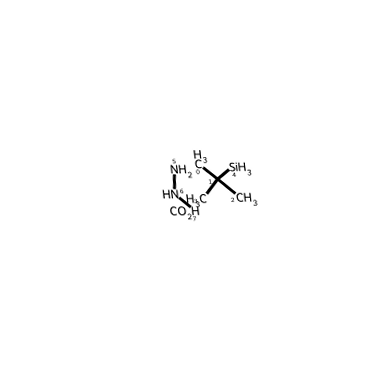 CC(C)(C)[SiH3].NNC(=O)O